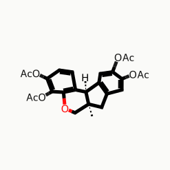 CC(=O)Oc1cc2c(cc1OC(C)=O)[C@@H]1c3ccc(OC(C)=O)c(OC(C)=O)c3OC[C@]1(C)C2